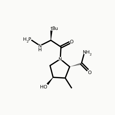 CC1[C@@H](C(N)=O)N(C(=O)[C@@H](NP)C(C)(C)C)C[C@@H]1O